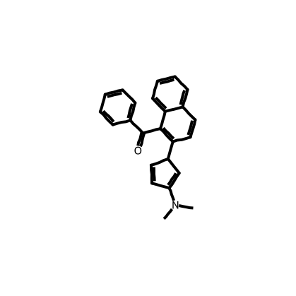 CN(C)C1=CC(c2ccc3ccccc3c2C(=O)c2ccccc2)C=C1